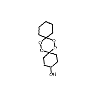 OC1CCC2(CC1)OOC1(CCCCC1)OO2